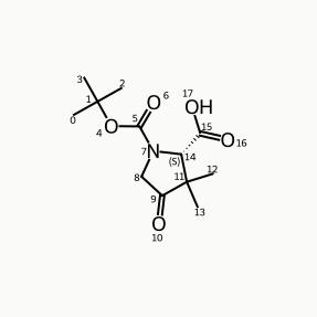 CC(C)(C)OC(=O)N1CC(=O)C(C)(C)[C@H]1C(=O)O